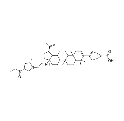 C=C(C)[C@@H]1CCC2(NCCN3C[C@H]([S+]([O-])CC)C[C@@H]3C)CCC3C(CCC4C3(C)CCC3C(C)(C)C(C5=CC6C(C5)C6C(=O)O)=CCC34C)C12